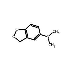 CN(C)c1ccc2c(c1)COO2